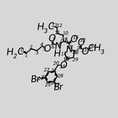 C=CCCCOC(=O)N[C@@H](CCCC)C(=O)N1C[C@H](OCc2cc(Br)cc(Br)c2)C[C@H]1C(=O)OC